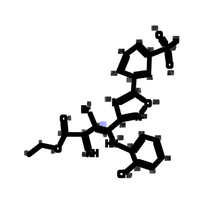 CCOC(=O)C(=N)/C(Br)=C(\Nc1ccccc1Cl)c1noc(-c2cccc(S(C)(=O)=O)c2)n1